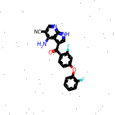 N#Cc1cnc2[nH]cc(C(=O)c3ccc(Oc4ccccc4F)cc3F)c2c1N